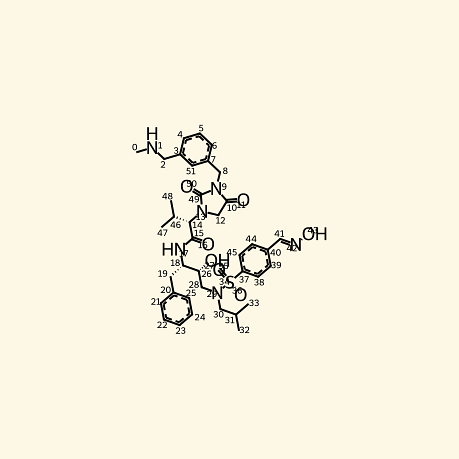 CNCc1cccc(CN2C(=O)CN([C@H](C(=O)N[C@@H](Cc3ccccc3)[C@H](O)CN(CC(C)C)S(=O)(=O)c3ccc(C=NO)cc3)C(C)C)C2=O)c1